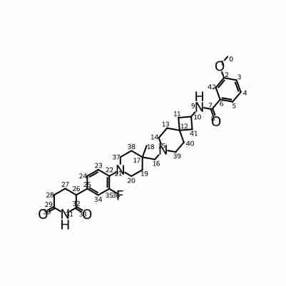 COc1cccc(C(=O)NC2CC3(CCN(CC4(C)CCN(c5ccc(C6CCC(=O)NC6=O)cc5F)CC4)CC3)C2)c1